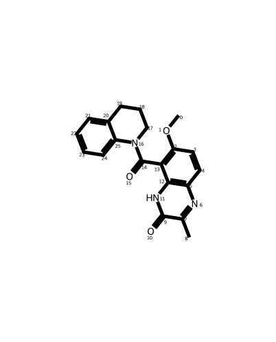 COc1ccc2nc(C)c(=O)[nH]c2c1C(=O)N1CCCc2ccccc21